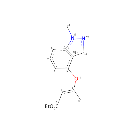 CCOC(=O)C=C(C)Oc1cccc2c1cnn2C